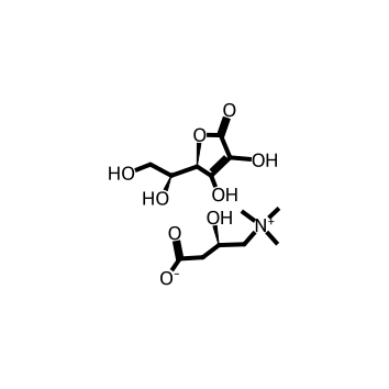 C[N+](C)(C)C[C@H](O)CC(=O)[O-].O=C1O[C@H]([C@@H](O)CO)C(O)=C1O